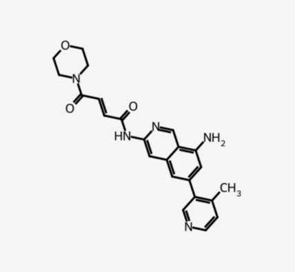 Cc1ccncc1-c1cc(N)c2cnc(NC(=O)/C=C/C(=O)N3CCOCC3)cc2c1